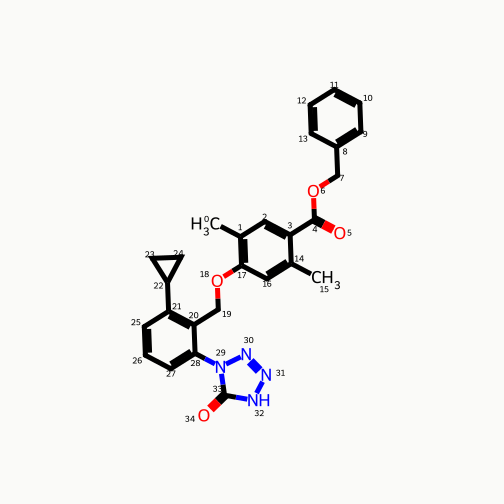 Cc1cc(C(=O)OCc2ccccc2)c(C)cc1OCc1c(C2CC2)cccc1-n1nn[nH]c1=O